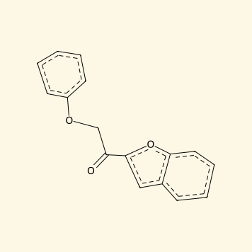 O=C(COc1ccccc1)c1cc2ccccc2o1